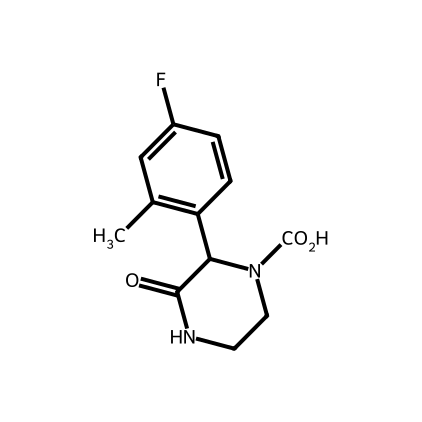 Cc1cc(F)ccc1C1C(=O)NCCN1C(=O)O